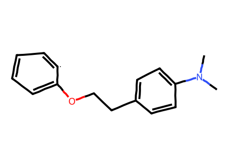 CN(C)c1ccc(CCOc2[c]cccc2)cc1